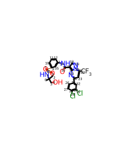 CC(C)(CO)NS(=O)(=O)c1cccc(NC(=O)c2cnn3c(C(F)(F)F)cc(-c4ccc(Cl)c(Cl)c4)nc23)c1